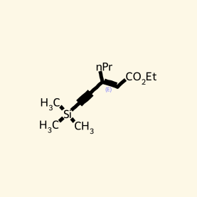 CCC/C(C#C[Si](C)(C)C)=C\C(=O)OCC